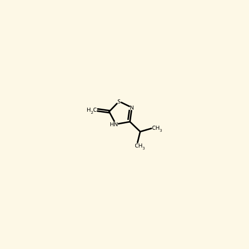 C=C1NC(C(C)C)=NS1